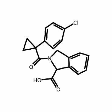 O=C(O)C1c2ccccc2CN1C(=O)C1(c2ccc(Cl)cc2)CC1